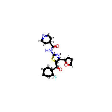 O=C(Nc1nc(-c2ccco2)c(C(=O)c2ccccc2F)s1)c1ccncc1